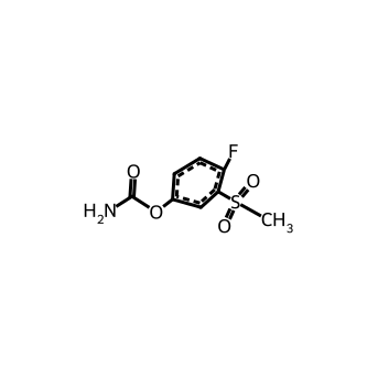 CS(=O)(=O)c1cc(OC(N)=O)ccc1F